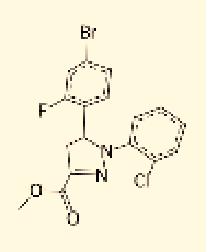 COC(=O)C1=NN(c2ccccc2Cl)C(c2ccc(Br)cc2F)C1